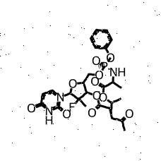 CC(=O)CCC(=O)OC1C(CO[P@](=O)(NC(C)C(=O)OC(C)C)Oc2ccccc2)OC(n2ccc(=O)[nH]c2=O)C1(C)F